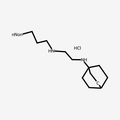 CCCCCCCCCCCCNCCNC12CCC(CC1)CC2.Cl